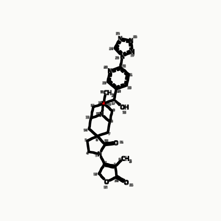 CC1=C(N2CCC3(CC4CN(C)CC(C3)N4C[C@H](O)c3ccc(-n4cnnn4)nc3)C2=O)COC1=O